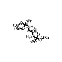 CCCC(OC(C)(C)C)(OC(C)(C)C)[SiH2]CC[SiH2]C(CCC)(OC(C)(C)C)OC(C)(C)C